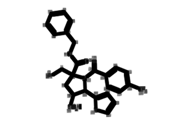 CC(C)CC1(C(=O)OCc2ccccc2)CC(C(=O)O)C(c2cccs2)N1C(=O)c1ccc(C(F)(F)F)cc1